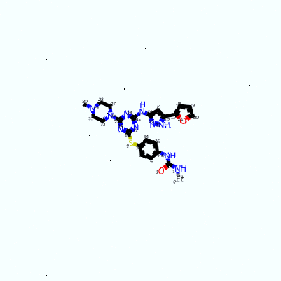 CCNC(=O)Nc1ccc(Sc2nc(Nc3cc(-c4ccco4)[nH]n3)nc(N3CCN(C)CC3)n2)cc1